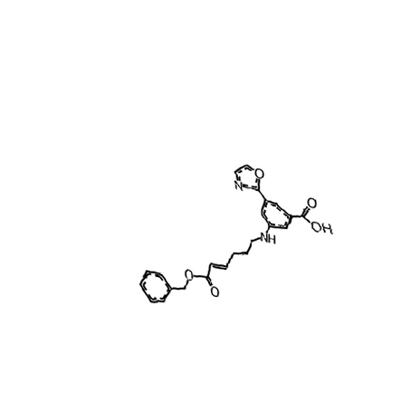 O=C(C=CCCCNc1cc(C(=O)O)cc(-c2ncco2)c1)OCc1ccccc1